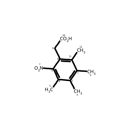 Cc1c(C)c(C)c([N+](=O)[O-])c(CC(=O)O)c1C